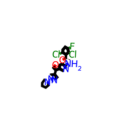 C[C@H](Oc1c(N)ncc2c(-c3cnn(N4CCCCC4)c3)coc12)c1c(Cl)ccc(F)c1Cl